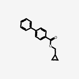 O=C(OCC1CC1)c1ccc(-c2ccccc2)cc1